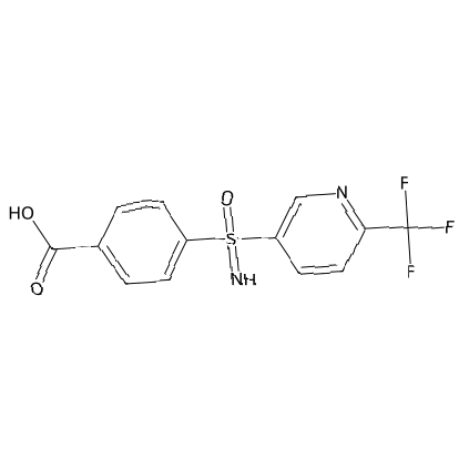 N=S(=O)(c1ccc(C(=O)O)cc1)c1ccc(C(F)(F)F)nc1